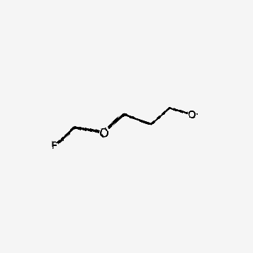 [O]CCCOCF